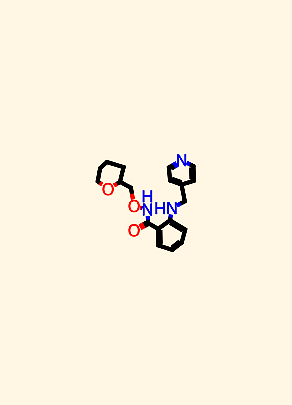 O=C(NOCC1CCCCO1)c1ccccc1NCc1ccncc1